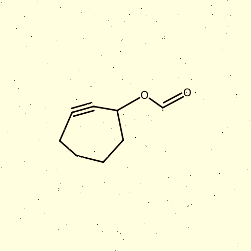 O=[C]OC1C#CCCCC1